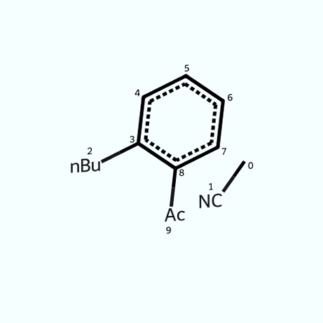 CC#N.CCCCc1ccccc1C(C)=O